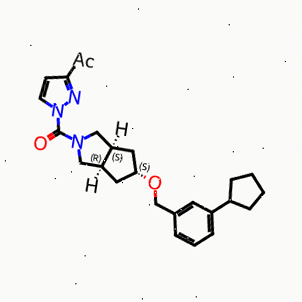 CC(=O)c1ccn(C(=O)N2C[C@H]3C[C@H](OCc4cccc(C5CCCC5)c4)C[C@H]3C2)n1